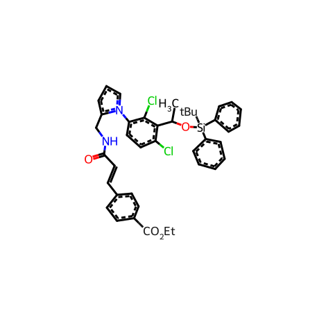 CCOC(=O)c1ccc(C=CC(=O)NCc2cccn2-c2ccc(Cl)c(C(C)O[Si](c3ccccc3)(c3ccccc3)C(C)(C)C)c2Cl)cc1